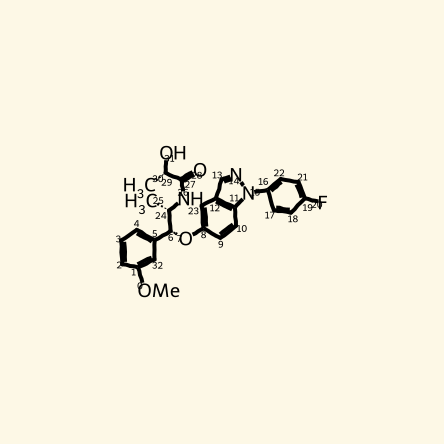 COc1cccc([C@@H](Oc2ccc3c(cnn3-c3ccc(F)cc3)c2)[C@H](C)NC(=O)[C@H](C)O)c1